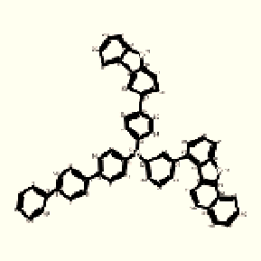 c1ccc(-c2ccc(-c3ccc(N(c4ccc(-c5ccc6oc7ccccc7c6c5)cc4)c4cccc(-c5cccc6oc7c8ccccc8ccc7c56)c4)cc3)cc2)cc1